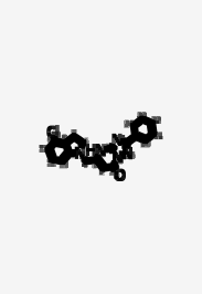 O=c1cc(CN2CCc3c(Cl)cccc32)[nH]c2nc(C3=CC=CCC3)nn12